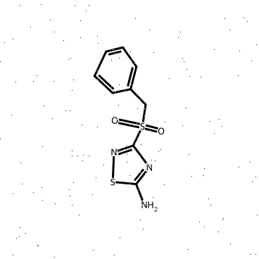 Nc1nc(S(=O)(=O)Cc2ccccc2)ns1